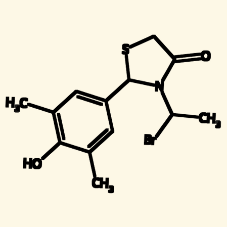 Cc1cc(C2SCC(=O)N2C(C)Br)cc(C)c1O